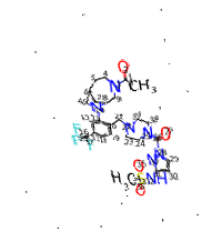 CC(=O)N1CCC2CC(C1)N(c1cc(C(F)(F)F)ccc1CN1CCN(C(=O)n3ccc(NS(C)(=O)=O)n3)CC1)C2